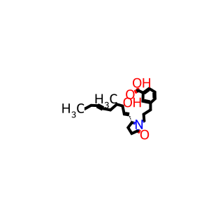 CCCC#CC[C@H](C)[C@@H](O)C=C[C@H]1CCC(=O)N1CCCc1cccc(C(=O)O)c1